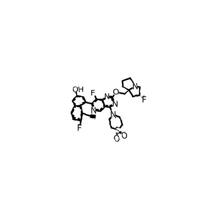 C#Cc1c(F)ccc2cc(O)cc(-c3ncc4c(N5CCS(=O)(=O)CC5)nc(OC[C@@]56CCCN5C[C@H](F)C6)nc4c3F)c12